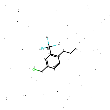 CCCc1ccc(CCl)cc1C(F)(F)F